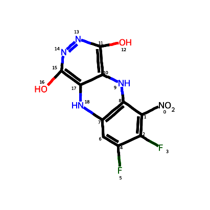 O=[N+]([O-])c1c(F)c(F)cc2c1Nc1c(O)nnc(O)c1N2